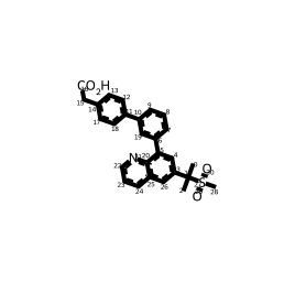 CC(C)(c1cc(-c2cccc(-c3ccc(CC(=O)O)cc3)c2)c2ncccc2c1)S(C)(=O)=O